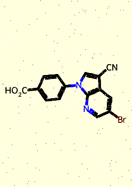 N#Cc1cn(-c2ccc(C(=O)O)cc2)c2ncc(Br)cc12